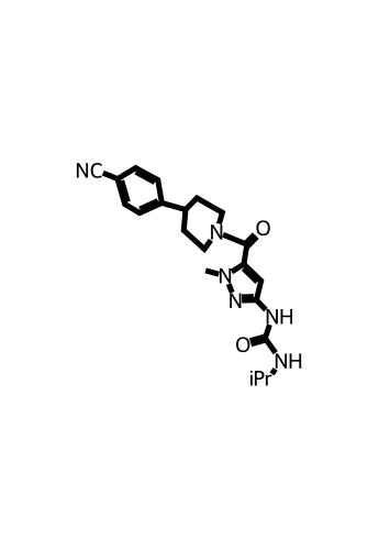 CC(C)NC(=O)Nc1cc(C(=O)N2CCC(c3ccc(C#N)cc3)CC2)n(C)n1